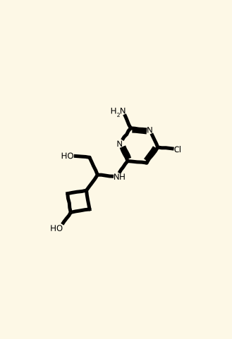 Nc1nc(Cl)cc(NC(CO)C2CC(O)C2)n1